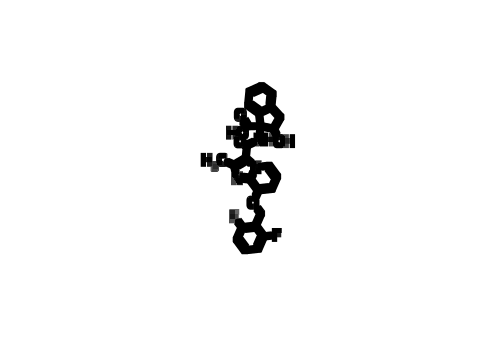 Cc1nc2c(OCc3c(F)cccc3F)cccn2c1C(=O)NC1(C(=O)O)c2ccccc2CC1O